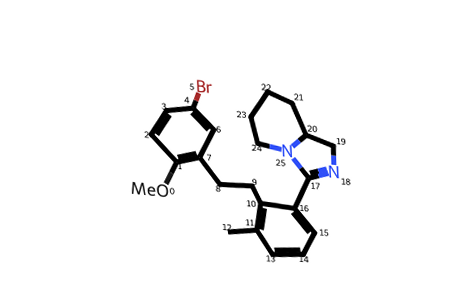 COc1ccc(Br)cc1CCc1c(C)cccc1C1=NCC2CCCCN12